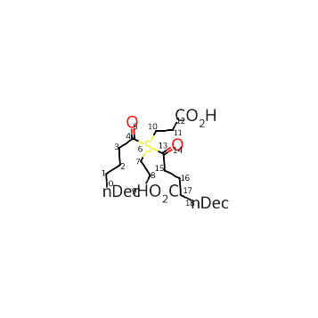 CCCCCCCCCCCCCC(=O)S(CCC(=O)O)(CCC(=O)O)C(=O)CCCCCCCCCCCCC